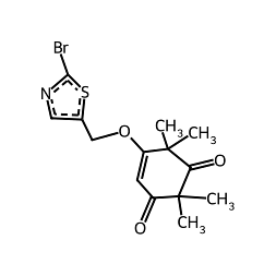 CC1(C)C(=O)C=C(OCc2cnc(Br)s2)C(C)(C)C1=O